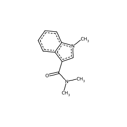 CN(C)C(=O)c1cn(C)c2ccccc12